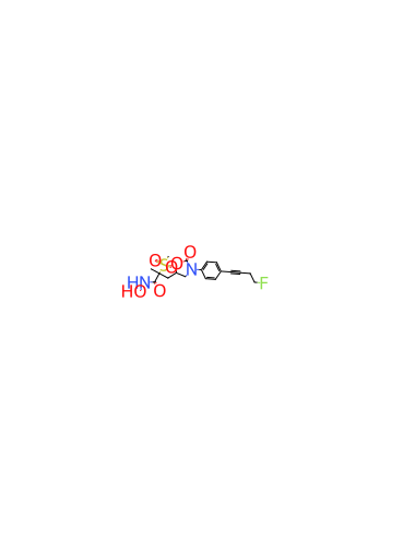 CC(CC1CN(c2ccc(C#CCCF)cc2)C(=O)O1)(C(=O)NO)S(C)(=O)=O